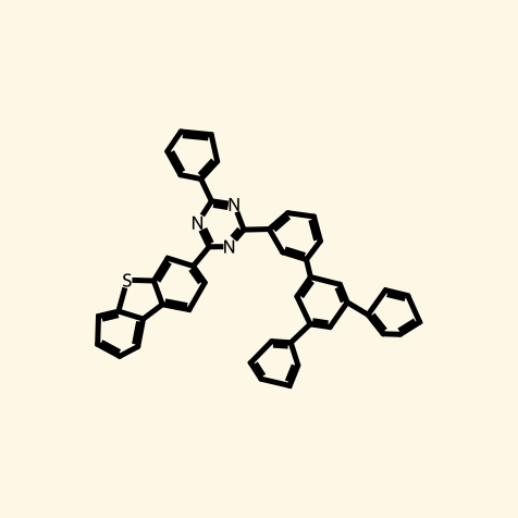 c1ccc(-c2cc(-c3ccccc3)cc(-c3cccc(-c4nc(-c5ccccc5)nc(-c5ccc6c(c5)sc5ccccc56)n4)c3)c2)cc1